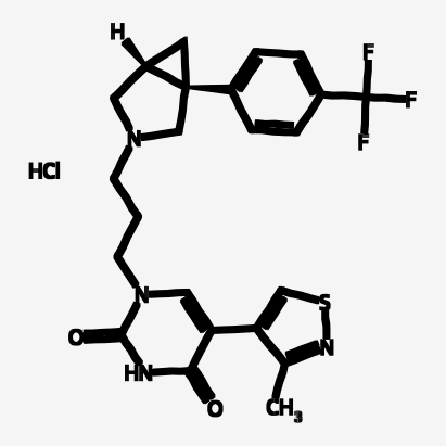 Cc1nscc1-c1cn(CCCN2C[C@@H]3C[C@]3(c3ccc(C(F)(F)F)cc3)C2)c(=O)[nH]c1=O.Cl